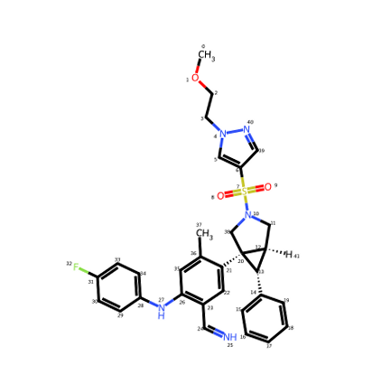 COCCn1cc(S(=O)(=O)N2C[C@H]3[C@H](c4ccccc4)[C@@]3(c3cc(C=N)c(Nc4ccc(F)cc4)cc3C)C2)cn1